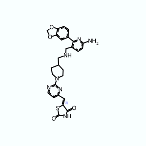 Nc1ccc(CNCC2CCN(c3nccc(/C=C4\SC(=O)NC4=O)n3)CC2)c(-c2ccc3c(c2)OCO3)n1